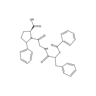 O=C(SC(Cc1ccccc1)C(=O)NCC(=O)N1C(c2ccccc2)CC[C@H]1C(=O)O)c1ccccc1